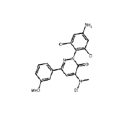 CCN(C)c1cc(-c2cccc(OC)c2)nn(-c2c(Cl)cc(N)cc2Cl)c1=O